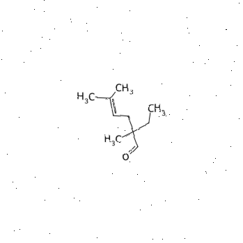 CCC(C)(C=O)CC=C(C)C